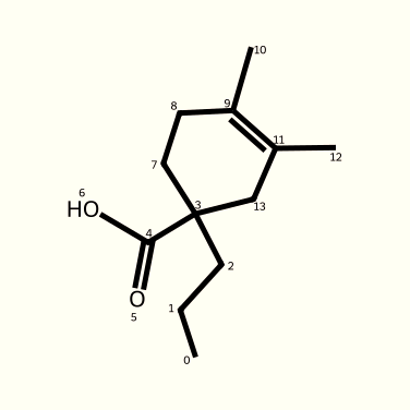 CCCC1(C(=O)O)CCC(C)=C(C)C1